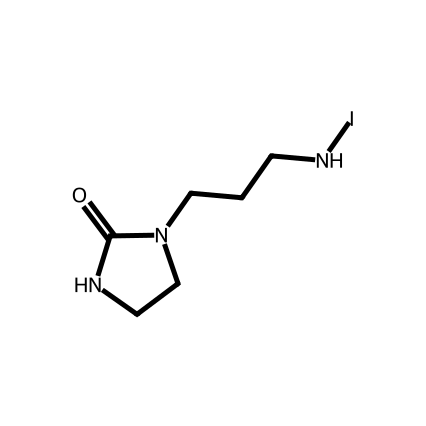 O=C1NCCN1CCCNI